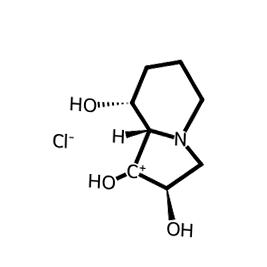 O[C+]1[C@H](O)CN2CCC[C@@H](O)[C@@H]12.[Cl-]